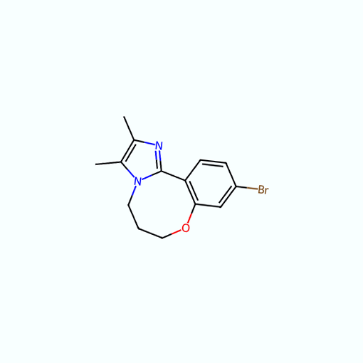 Cc1nc2n(c1C)CCCOc1cc(Br)ccc1-2